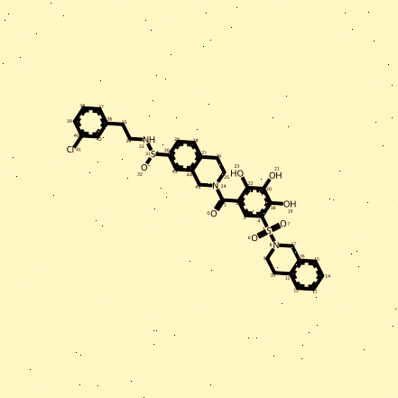 O=C(c1cc(S(=O)(=O)N2CCc3ccccc3C2)c(O)c(O)c1O)N1CCc2ccc([S+]([O-])NCCc3cccc(Cl)c3)cc2C1